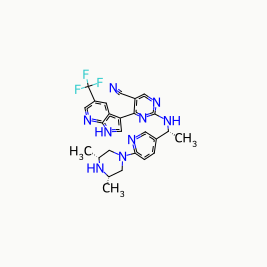 C[C@@H]1CN(c2ccc([C@@H](C)Nc3ncc(C#N)c(-c4c[nH]c5ncc(C(F)(F)F)cc45)n3)cn2)C[C@H](C)N1